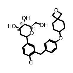 OC[C@H]1OC(c2ccc(Cl)c(Cc3ccc(OC4CCC5(CC4)COC5)cc3)c2)C[C@@H](O)[C@@H]1O